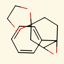 c1ccc(C23CCC4(CC2O3)OCCO4)cc1